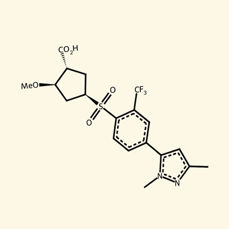 CO[C@@H]1C[C@H](S(=O)(=O)c2ccc(-c3cc(C)nn3C)cc2C(F)(F)F)C[C@H]1C(=O)O